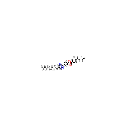 C=CCCCC1CCC(C(=O)Oc2ccc(-c3ncc(CCCCCCCCCC)cn3)cc2)CC1